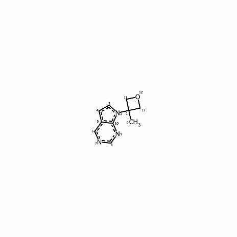 CC1(n2ccc3cncnc32)COC1